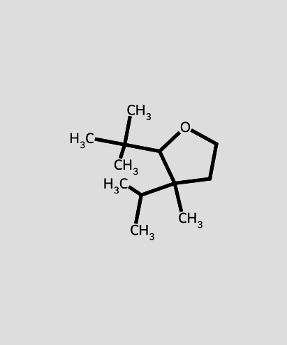 CC(C)C1(C)CCOC1C(C)(C)C